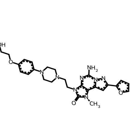 Cn1c(=O)n(CCN2CCN(c3ccc(OCCO)cc3)CC2)c2nc(N)n3nc(-c4ccco4)cc3c21